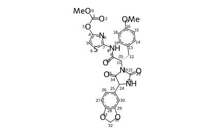 COC(=O)Oc1csc(NC(=O)[C@H](Cc2ccc(OC)cc2)N2C(=O)NC(c3ccc4c(c3)OCO4)C2=O)n1